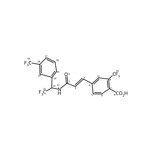 O=C(/C=C/c1ccc(C(=O)O)c(C(F)(F)F)c1)NC(c1cccc(C(F)(F)F)c1)C(F)(F)F